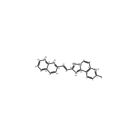 Cc1ccc2c(ccn3nc(C=Cc4ccc5cccnc5n4)nc23)n1